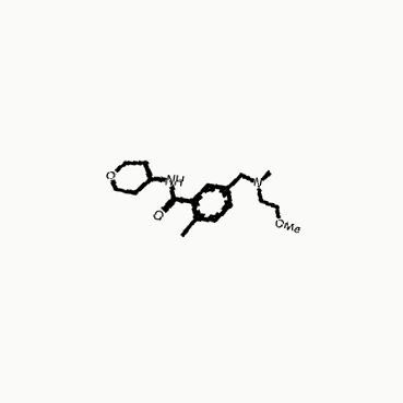 COCCN(C)Cc1ccc(C)c(C(=O)NC2CCOCC2)c1